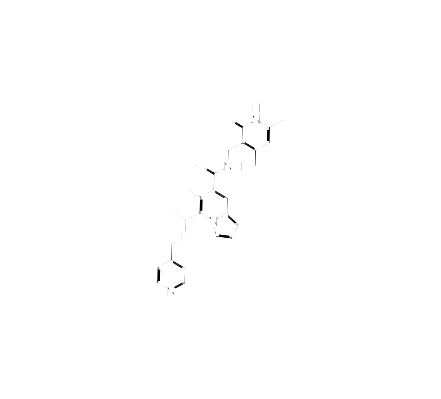 Cc1cc(C)c(CNC(=O)c2cc3cccn3c(C(C)OCc3ccncc3)c2C)c(=O)[nH]1